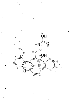 CCc1ccccc1Oc1c(Cl)cccc1C(O)(CCCNC(=O)O)C1CCCNC1